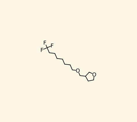 FC(F)(F)CCCCCCCOCC1CCOC1